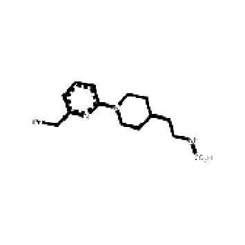 CC(C)Cc1cccc(N2CCC(CCNC(=O)O)CC2)n1